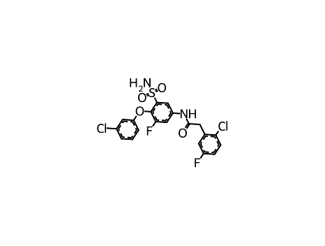 NS(=O)(=O)c1cc(NC(=O)Cc2cc(F)ccc2Cl)cc(F)c1Oc1cccc(Cl)c1